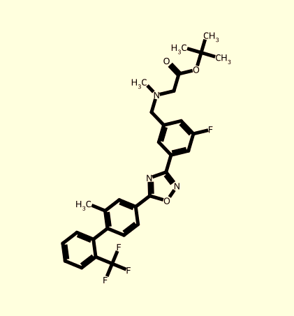 Cc1cc(-c2nc(-c3cc(F)cc(CN(C)CC(=O)OC(C)(C)C)c3)no2)ccc1-c1ccccc1C(F)(F)F